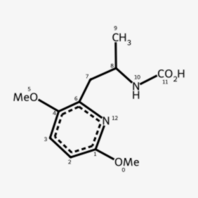 COc1ccc(OC)c(CC(C)NC(=O)O)n1